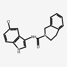 O=C(Nc1c[nH]c2ccc(Cl)cc12)N1CCc2ccccc2C1